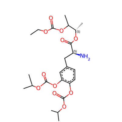 CCOC(=O)OC(C)[C@H](C)OC(=O)[C@@H](N)Cc1ccc(OC(=O)OC(C)C)c(OC(=O)OC(C)C)c1